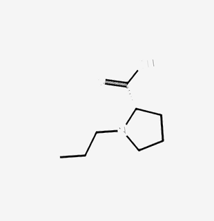 CCCN1CCC[C@H]1C(O)=S